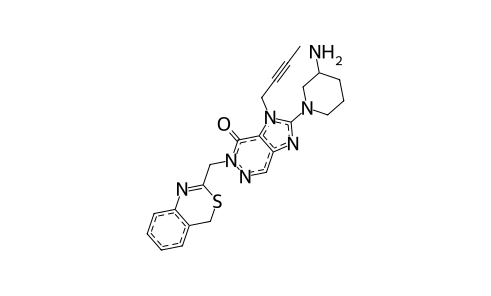 CC#CCn1c(N2CCCC(N)C2)nc2cnn(CC3=Nc4ccccc4CS3)c(=O)c21